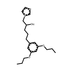 CCCOc1cc(CCCC(O)Cn2ccnc2)cc(OCCC)c1